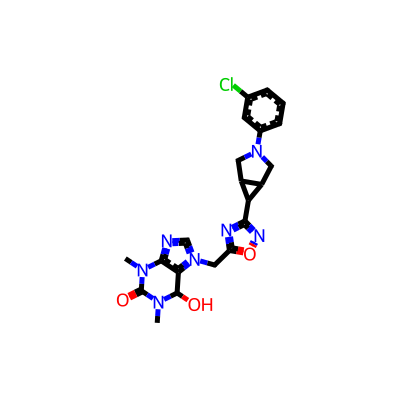 CN1C(=O)N(C)C(O)c2c1ncn2Cc1nc(C2C3CN(c4cccc(Cl)c4)CC32)no1